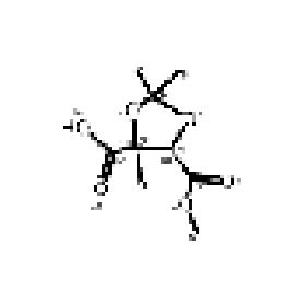 COC(=O)[C@@H]1OC(C)(C)O[C@@]1(C)C(=O)O